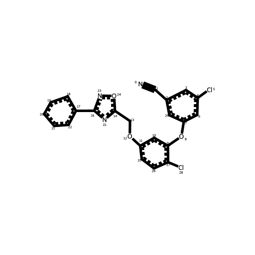 N#Cc1cc(Cl)cc(Oc2cc(OCc3nc(-c4ccccc4)no3)ccc2Cl)c1